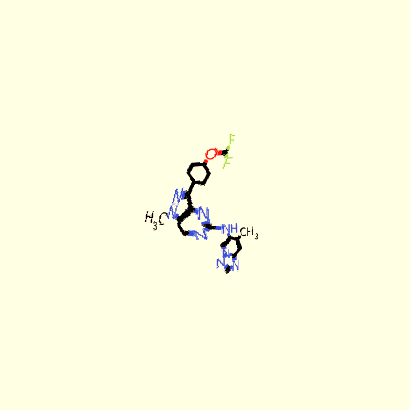 Cc1cc2ncnn2cc1Nc1ncc2c(n1)c(C1CCC(OC(F)F)CC1)nn2C